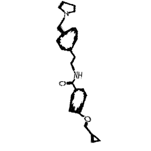 O=C(NCCc1ccc(CN2CCCC2)cc1)c1ccc(OCC2CC2)cc1